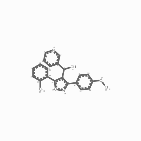 OC(c1cccnc1)c1c(-c2ccc(OC(F)(F)F)cc2)noc1-c1ccccc1C(F)(F)F